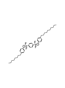 CCCCCCCCCCc1ccc(OC(F)(F)c2ccc(C(F)(F)Oc3ccc(CCCCCCCC)cc3)cc2)cc1